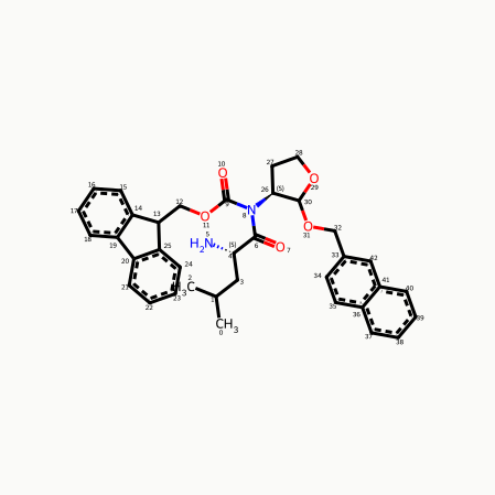 CC(C)C[C@H](N)C(=O)N(C(=O)OCC1c2ccccc2-c2ccccc21)[C@H]1CCOC1OCc1ccc2ccccc2c1